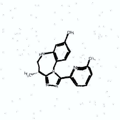 Cc1cccc(-c2nnc3n2-c2ccc(O)cc2NC[C@H]3C)n1